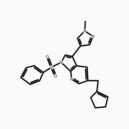 Cn1cc(-c2cn(S(=O)(=O)c3ccccc3)c3ncc(CC4=CCCC4)cc23)cn1